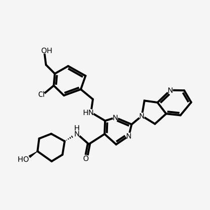 O=C(N[C@H]1CC[C@H](O)CC1)c1cnc(N2Cc3cccnc3C2)nc1NCc1ccc(CO)c(Cl)c1